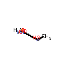 CCCCC(O)/C=C\CC=CCC=CCC=CCCCC(=O)NS(C)(=O)=O